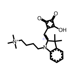 CC1(C)/C(=C\c2c(O)c(=O)c2=O)N(CCCC[N+](C)(C)C)c2ccccc21